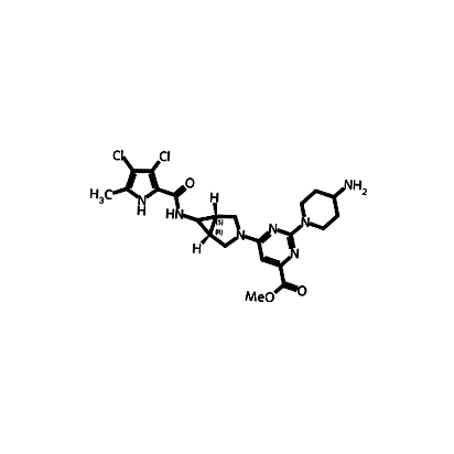 COC(=O)c1cc(N2C[C@@H]3C(NC(=O)c4[nH]c(C)c(Cl)c4Cl)[C@@H]3C2)nc(N2CCC(N)CC2)n1